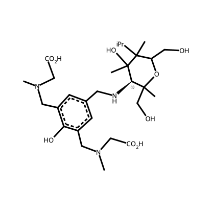 CC(C)C1(C)C(CO)OC(C)(CO)[C@@H](NCc2cc(CN(C)CC(=O)O)c(O)c(CN(C)CC(=O)O)c2)C1(C)O